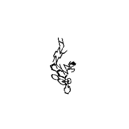 CC1CN(c2ccc3c(=O)c(S(=O)(=O)N4CCCCC4)cn(-c4nccs4)c3n2)CCN1